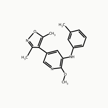 COc1ncc(-c2c(C)noc2C)cc1Nc1cccc(C)c1